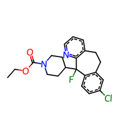 CCOC(=O)N1CCC(C2(F)c3ccc(Cl)cc3CCc3cccnc32)CC1